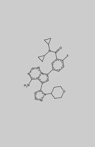 Nc1ncnn2c(-c3ccc(F)c(C(=O)N(C4CC4)C4CC4)c3)cc(-c3ccnn3C3CCOCC3)c12